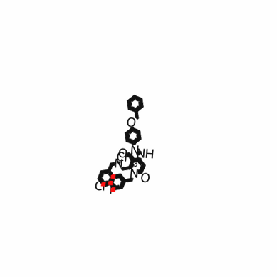 CN(Cc1cccc(F)c1)Cc1c2c(=O)n(-c3ccc(OCc4ccccc4)cc3)[nH]c2cc(=O)n1Cc1ccc(Cl)cc1